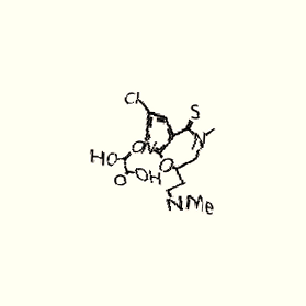 CNCCC1CN(C)C(=S)c2cc(Cl)cnc2O1.O=C(O)C(=O)O